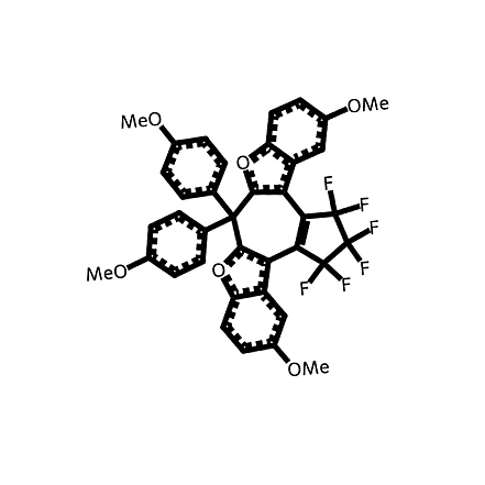 COc1ccc(C2(c3ccc(OC)cc3)c3oc4ccc(OC)cc4c3C3=C(c4c2oc2ccc(OC)cc42)C(F)(F)C(F)(F)C3(F)F)cc1